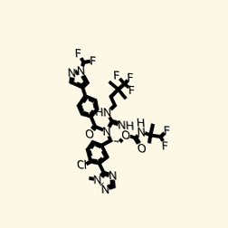 Cn1ncnc1-c1cc([C@@H](COC(=O)NC(C)(C)C(F)F)N(C(=N)NCCC(C)(C)C(F)(F)F)C(=O)c2ccc(-c3cnn(C(F)F)c3)cc2)ccc1Cl